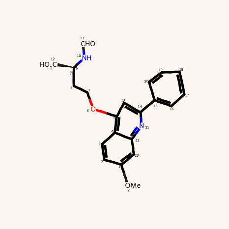 COc1ccc2c(OCC[C@H](NC=O)C(=O)O)cc(-c3ccccc3)nc2c1